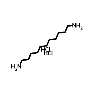 Cl.Cl.NCCCCCCCCCCCN